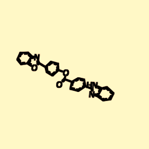 O=C(Oc1ccc(-c2nc3ccccc3o2)cc1)c1ccc(-c2nc3ccccc3[nH]2)cc1